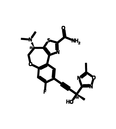 Cc1nc([C@](C)(O)C#Cc2cc3c(cc2F)OC[C@H](N(C)C)c2sc(C(N)=O)nc2-3)no1